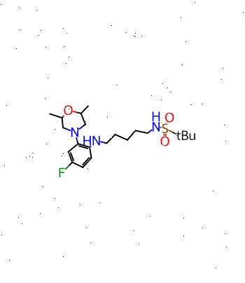 CC1CN(c2cc(F)ccc2NCCCCCNS(=O)(=O)C(C)(C)C)CC(C)O1